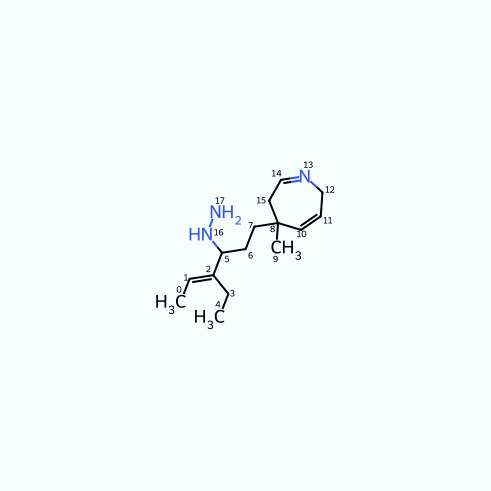 C/C=C(\CC)C(CCC1(C)C=CCN=CC1)NN